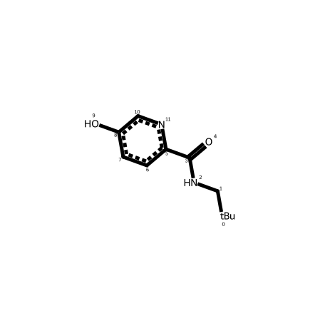 CC(C)(C)CNC(=O)c1ccc(O)cn1